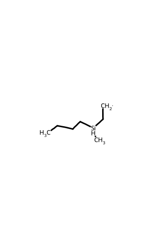 [CH2]C[SiH](C)CCCC